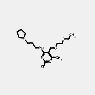 CCOCCOCc1c(C)nc(Cl)nc1NCCCN1CCCC1